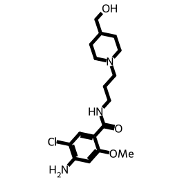 COc1cc(N)c(Cl)cc1C(=O)NCCCN1CCC(CO)CC1